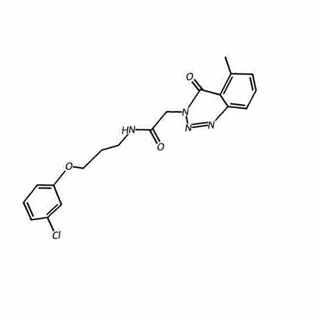 Cc1cccc2nnn(CC(=O)NCCCOc3cccc(Cl)c3)c(=O)c12